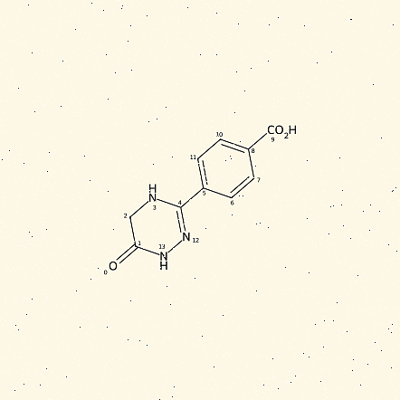 O=C1CNC(c2ccc(C(=O)O)cc2)=NN1